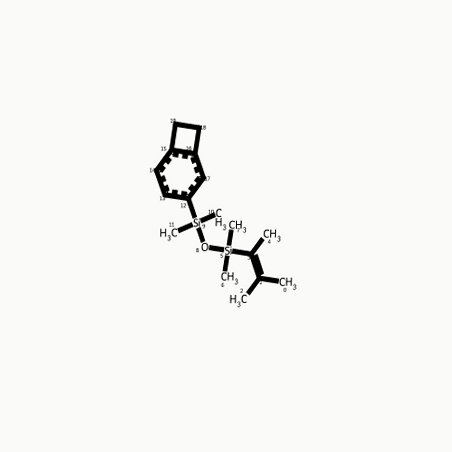 CC(C)=C(C)[Si](C)(C)O[Si](C)(C)c1ccc2c(c1)CC2